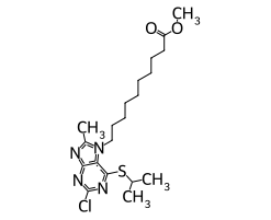 COC(=O)CCCCCCCCCn1c(C)nc2nc(Cl)nc(SC(C)C)c21